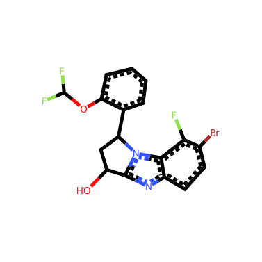 OC1CC(c2ccccc2OC(F)F)n2c1nc1ccc(Br)c(F)c12